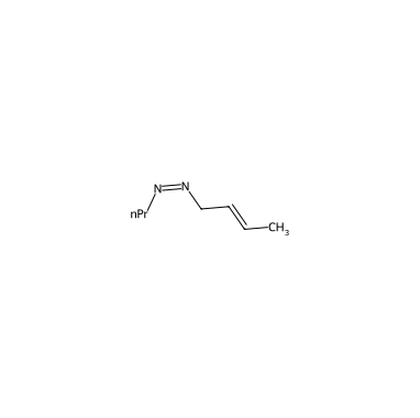 C/C=C/C/N=N\CCC